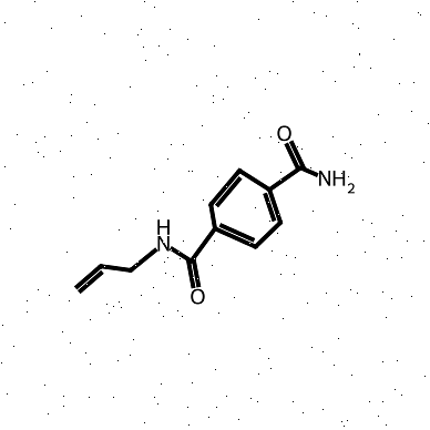 C=CCNC(=O)c1ccc(C(N)=O)cc1